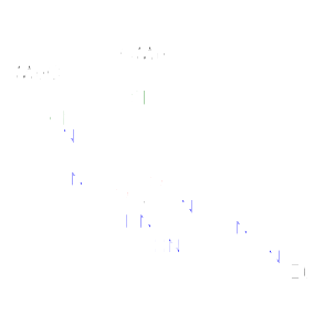 CCN1CCN(Cc2c[nH]c(NC(=O)Oc3ccc(-c4c(Cl)c(OC)cc(OC)c4Cl)c4nccnc34)n2)CC1